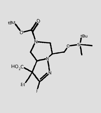 CCC1(C(=O)O)C(I)=NN2C(CO[Si](C)(C)C(C)(C)C)CN(C(=O)OC(C)(C)C)CC21